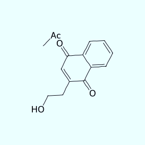 CC(C)=O.O=C1C=C(CCO)C(=O)c2ccccc21